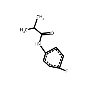 CC(C)C(=O)Nc1ccc(F)cc1